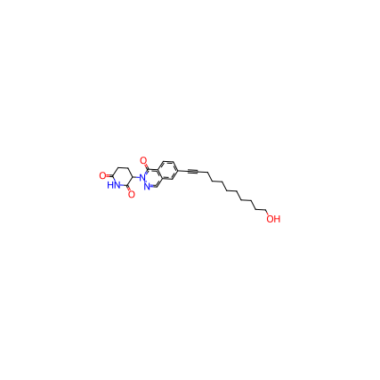 O=C1CCC(n2ncc3cc(C#CCCCCCCCCCO)ccc3c2=O)C(=O)N1